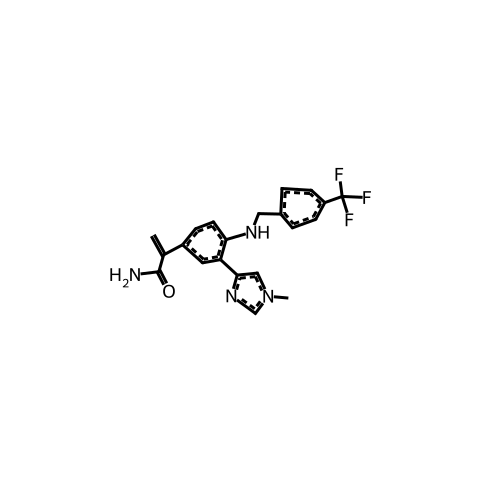 C=C(C(N)=O)c1ccc(NCc2ccc(C(F)(F)F)cc2)c(-c2cn(C)cn2)c1